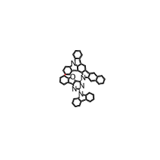 c1ccc2cc3c(cc2c1)c1cc2c4ccccc4n4c5ccccc5c(c1n3-c1nc(-n3c5ccccc5c5ccccc53)nc3c1oc1ccccc13)c24